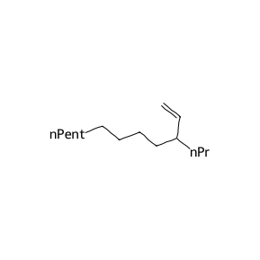 C=CC(CCC)CCCCCCCCC